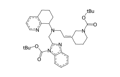 CC(C)(C)OC(=O)N1CCCC(=CCN(Cc2nc3ccccc3n2C(=O)OC(C)(C)C)C2CCCc3cccnc32)C1